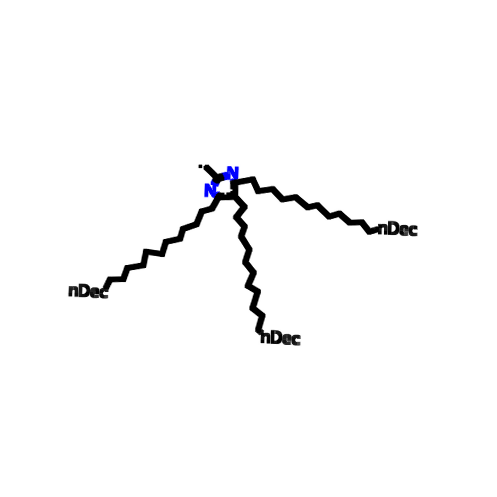 [CH2]c1nc(CCCCCCCCCCCCCCCCCCCCCC)c(CCCCCCCCCCCCCCCCCCCCCC)c(CCCCCCCCCCCCCCCCCCCCCC)n1